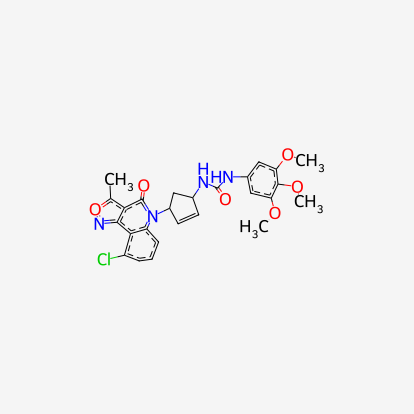 COc1cc(NC(=O)NC2C=CC(n3c(=O)c4c(C)onc4c4c(Cl)cccc43)C2)cc(OC)c1OC